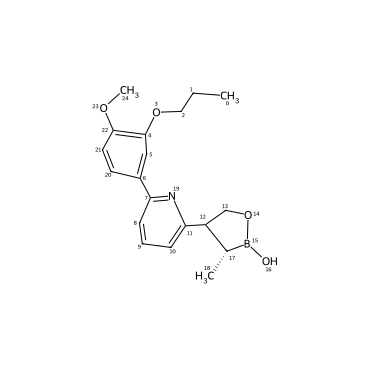 CCCOc1cc(-c2cccc(C3COB(O)[C@@H]3C)n2)ccc1OC